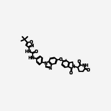 CC(C)(C)c1cc(NC(=O)Nc2ccc(-n3cnc4cc(Oc5[c]c6c(cc5)C(=O)N(C5CCC(=O)NC5=O)C6)ccc43)cc2)no1